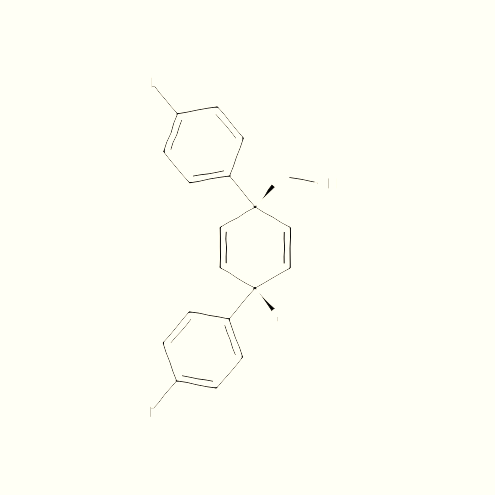 CO[C@]1(c2ccc(I)cc2)C=C[C@@](C)(c2ccc(I)cc2)C=C1